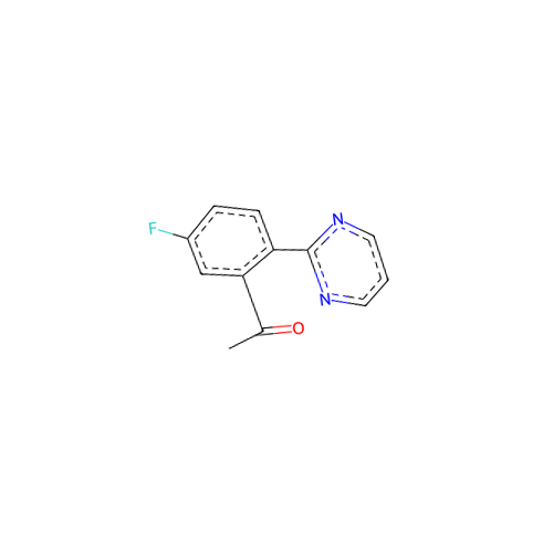 CC(=O)c1cc(F)ccc1-c1ncccn1